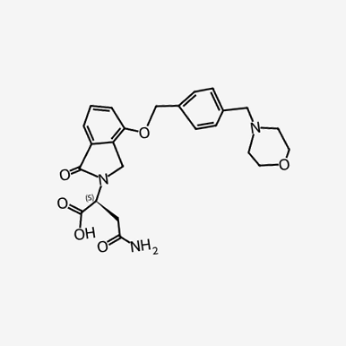 NC(=O)C[C@@H](C(=O)O)N1Cc2c(OCc3ccc(CN4CCOCC4)cc3)cccc2C1=O